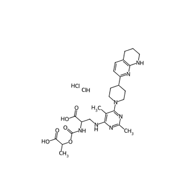 Cc1nc(NCC(NC(=O)OC(C)C(=O)O)C(=O)O)c(C)c(N2CCC(c3ccc4c(n3)NCCC4)CC2)n1.Cl.Cl